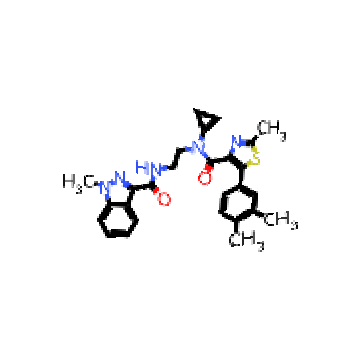 Cc1nc(C(=O)N(CCNC(=O)c2nn(C)c3ccccc23)C2CC2)c(-c2ccc(C)c(C)c2)s1